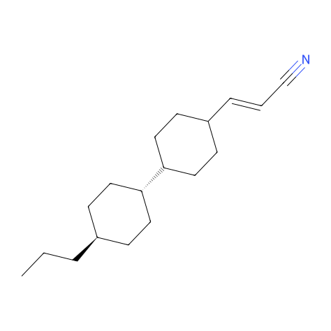 CCC[C@H]1CC[C@H](C2CCC(/C=C/C#N)CC2)CC1